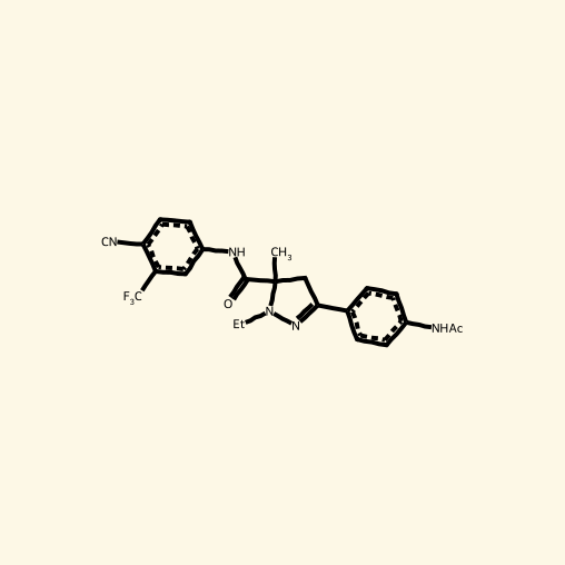 [C-]#[N+]c1ccc(NC(=O)C2(C)CC(c3ccc(NC(C)=O)cc3)=NN2CC)cc1C(F)(F)F